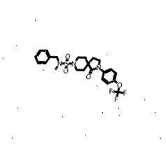 CN(Cc1ccccc1)S(=O)(=O)N1CCC2(CCN(c3ccc(OC(F)(F)F)cc3)C2=O)CC1